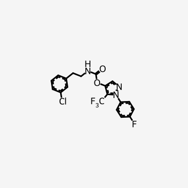 O=C(NCCc1cccc(Cl)c1)Oc1cnn(-c2ccc(F)cc2)c1C(F)(F)F